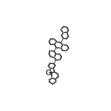 c1ccc2cc(-c3c4ccccc4c(-c4cccc5c(-c6ccc7oc8c9ccccc9ccc8c7c6)cccc45)c4ccccc34)ccc2c1